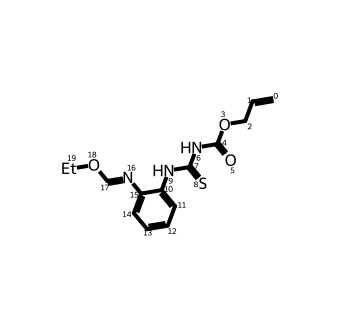 C=CCOC(=O)NC(=S)Nc1ccccc1/N=C/OCC